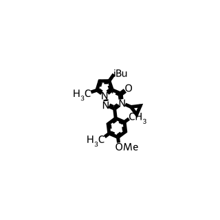 CCC(C)c1cc(C)n2nc(-c3cc(C)c(OC)cc3C)n(C3CC3)c(=O)c12